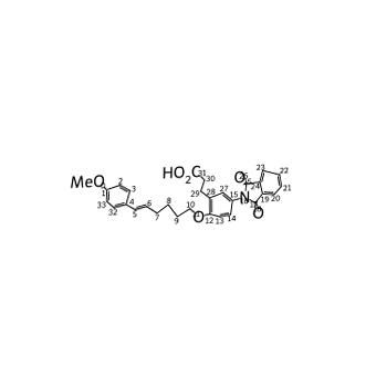 COc1ccc(/C=C/CCCCOc2ccc(N3C(=O)c4ccccc4C3=O)cc2CCC(=O)O)cc1